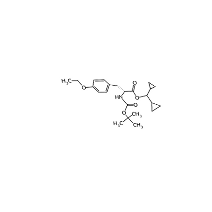 CCOc1ccc(C[C@@H](NC(=O)OC(C)(C)C)C(=O)OC(C2CC2)C2CC2)cc1